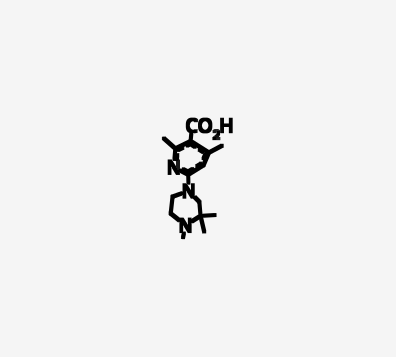 Cc1cc(N2CCN(C)C(C)(C)C2)nc(C)c1C(=O)O